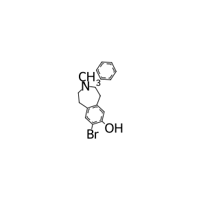 CN1CCc2cc(Br)c(O)cc2C[C@H]1c1ccccc1